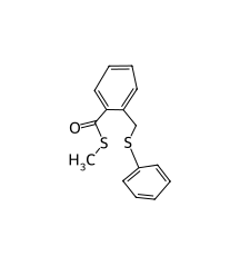 CSC(=O)c1ccccc1CSc1ccccc1